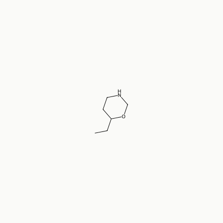 CCC1CCNCO1